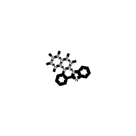 CB1N(C)B(C)N2B(C)N(C)B3N(B2N1C)c1ccccc1-c1nc2ccccc2n13